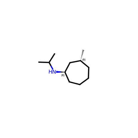 CC(C)N[C@@H]1CCCC[C@@H](C)C1